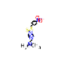 CN(C)CCN1CCN(C(=S)SCc2ccc([N+](=O)[O-])cc2)CC1